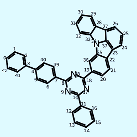 c1ccc(-c2ccc(-c3nc(-c4ccccc4)nc(-c4ccc5c6cccc7c8ccccc8n(c5c4)c76)n3)cc2)cc1